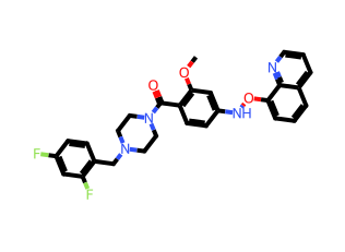 COc1cc(NOc2cccc3cccnc23)ccc1C(=O)N1CCN(Cc2ccc(F)cc2F)CC1